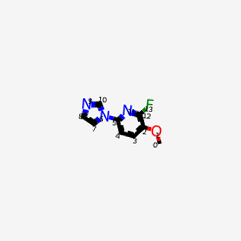 COc1ccc(-n2ccnc2)nc1F